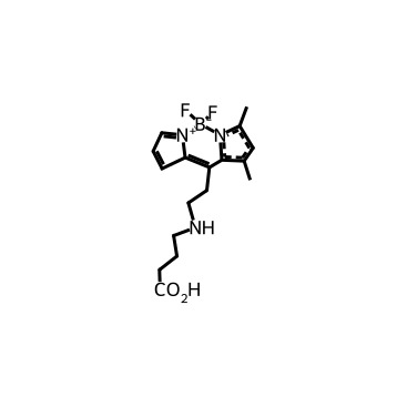 Cc1cc(C)n2c1C(CCNCCCC(=O)O)=C1C=CC=[N+]1[B-]2(F)F